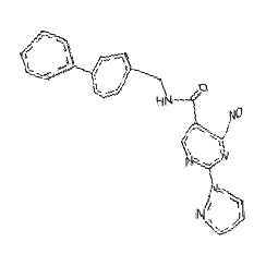 O=Nc1nc(-n2cccn2)ncc1C(=O)NCc1ccc(-c2ccccc2)cc1